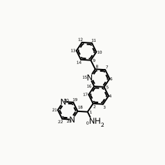 NC(c1ccc2ccc(-c3ccccc3)nc2c1)c1cnccn1